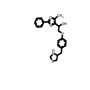 Cc1oc(-c2ccccc2)nc1C(O)COc1ccc(CC2CSCN2)cc1